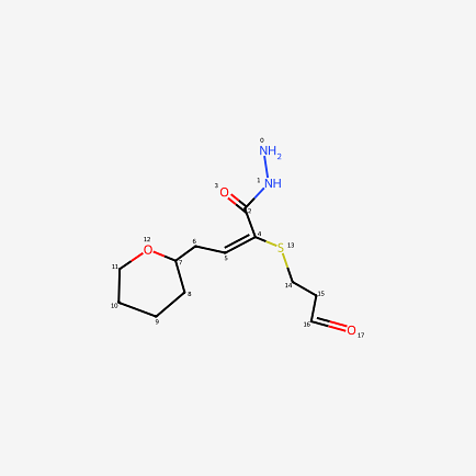 NNC(=O)/C(=C\CC1CCCCO1)SCCC=O